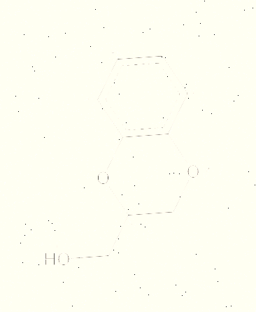 OCC1COc2cc[c]cc2O1